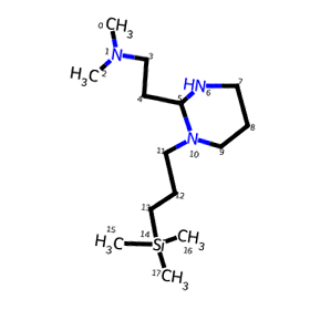 CN(C)CCC1NCCCN1CCC[Si](C)(C)C